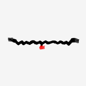 C#CCCCCCCCCC(O)CCCCCCCCC#C